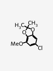 COc1cc(Cl)cc2c1OC(C)(C)O2